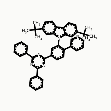 CC(C)(C)c1ccc2c3ccc(C(C)(C)C)cc3n(-c3cc(-c4nc(-c5ccccc5)nc(-c5ccccc5)n4)ccc3-c3cccnc3)c2c1